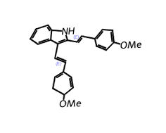 COc1ccc(/C=C/c2[nH]c3ccccc3c2/C=C/C2=CCC(OC)C=C2)cc1